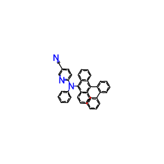 N#Cc1ccc(N(c2ccccc2)c2c3ccccc3c(-c3ccccc3-c3ccccc3)c3ccccc23)nc1